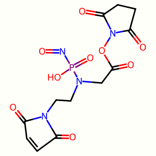 O=NP(=O)(O)N(CCN1C(=O)C=CC1=O)CC(=O)ON1C(=O)CCC1=O